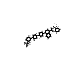 C=C(Sc1ccccc1N)c1ccc(-c2ccc(-c3ccc(-c4cccc(C(F)(F)F)c4)cc3)cc2)c2ccccc12